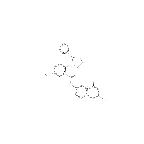 COCc1ccc(N2CCCC2c2cc[nH]n2)c(C(=O)Nc2ccc3nc(O)cc(C)c3c2)c1